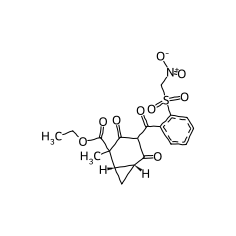 CCOC(=O)C1(C)C(=O)C(C(=O)c2ccccc2S(=O)(=O)C[N+](=O)[O-])C(=O)[C@@H]2C[C@@H]21